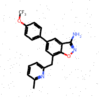 Cc1cccc(Cc2cc(-c3ccc(OC(F)(F)F)cc3)cc3c(N)noc23)n1